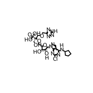 O=P(O)(O)[C@@](CO)(COCc1nn[nH]n1)OC[C@H]1O[C@@H](n2ncc3c(NC4CCCC4)nc(Cl)nc32)[C@H](O)[C@@H]1O